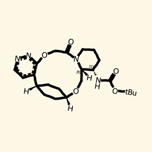 CC(C)(C)OC(=O)N[C@H]1CCCN2C(=O)COc3nnccc3[C@H]3CC[C@H](CC3)OC[C@@H]12